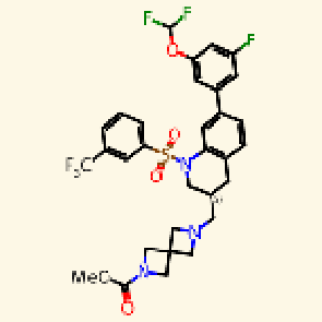 COC(=O)N1CC2(CN(C[C@@H]3Cc4ccc(-c5cc(F)cc(OC(F)F)c5)cc4N(S(=O)(=O)c4cccc(C(F)(F)F)c4)C3)C2)C1